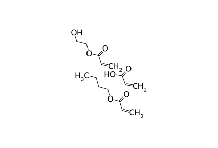 C=CC(=O)O.C=CC(=O)OCCCC.C=CC(=O)OCCO